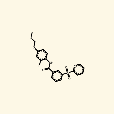 COCOc1ccc(NC(=O)c2cccc(S(=O)(=O)c3ccccn3)c2)c(F)c1